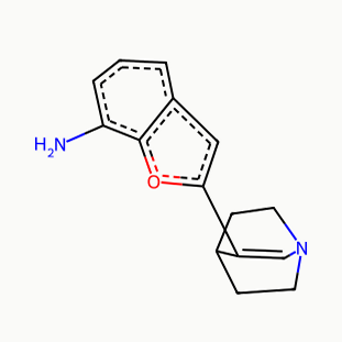 Nc1cccc2cc(C3=CN4CCC3CC4)oc12